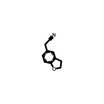 N#CCc1ccc2c(c1)CCO2